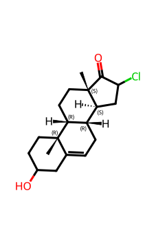 C[C@]12CCC(O)CC1=CC[C@@H]1[C@H]2CC[C@]2(C)C(=O)C(Cl)C[C@@H]12